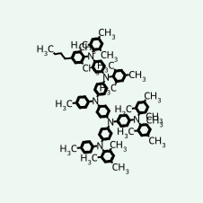 CCCCc1cc(C)c(N(c2ccc(N(c3ccc(N(c4ccc(C)cc4)c4ccc(N(c5ccc(N(c6ccc(C)cc6)c6c(C)cc(C)cc6C)cc5)c5ccc(N(c6c(C)cc(C)cc6C)c6c(C)cc(C)cc6C)cc5)cc4)cc3)c3c(C)cc(C)cc3C)cc2)c2c(C)cc(C)cc2C)c(C)c1